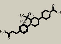 CC(C)(C)C1CC(C2CCN(C(=O)O)CC2)CCN1c1ccc(CCC(N)=S)cc1